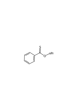 CCCOC(=S)c1ccccc1